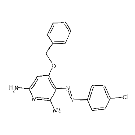 Nc1cc(OCc2ccccc2)c(N=Nc2ccc(Cl)cc2)c(N)n1